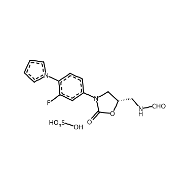 O=CNC[C@H]1CN(c2ccc(-n3cccc3)c(F)c2)C(=O)O1.O=S(=O)(O)O